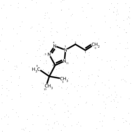 C=CCn1nnc(C(C)(C)C)n1